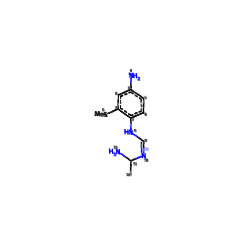 CSc1cc(N)ccc1N/C=N\C(C)N